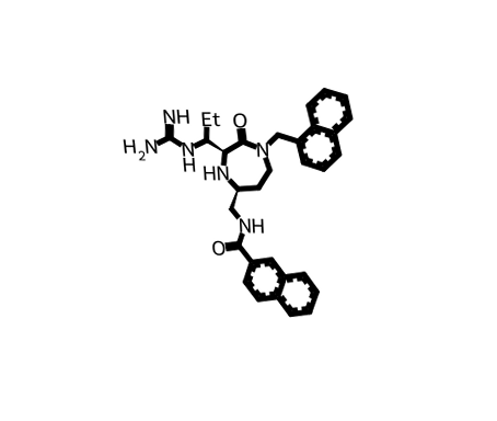 CCC(NC(=N)N)[C@@H]1N[C@H](CNC(=O)c2ccc3ccccc3c2)CCN(Cc2cccc3ccccc23)C1=O